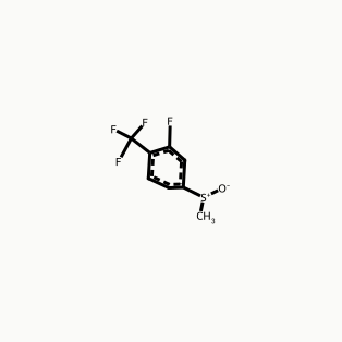 C[S+]([O-])c1ccc(C(F)(F)F)c(F)c1